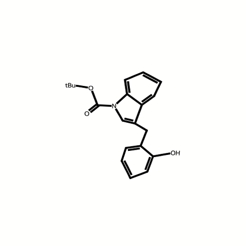 CC(C)(C)OC(=O)n1cc(Cc2ccccc2O)c2ccccc21